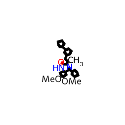 COc1cc2c(cc1OC)C(c1ccccc1)=NC(C(C)Cc1cccc(-c3ccccc3)c1)C(=O)N2